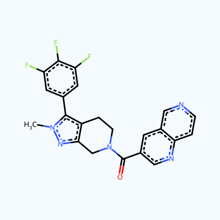 Cn1nc2c(c1-c1cc(F)c(F)c(F)c1)CCN(C(=O)c1cnc3ccncc3c1)C2